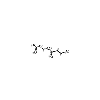 CCC(=O)OCOC(=O)CCC(C)=O